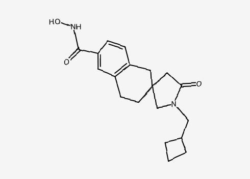 O=C(NO)c1ccc2c(c1)CCC1(CC(=O)N(CC3CCC3)C1)C2